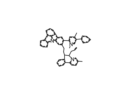 C=CCC1C(CCc2cc3c(cc2-c2cc(C)c(-c4ccccc4)c[n+]2C)c2cccc4c5ccccc5n3c42)c2ccccc2-c2ccc(C)c[n+]21